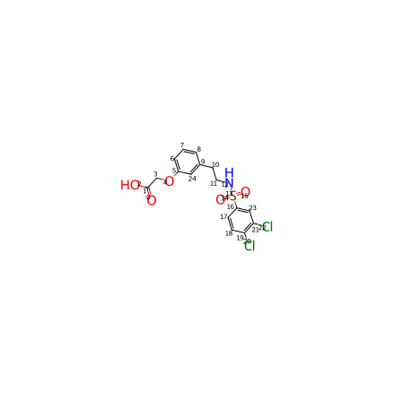 O=C(O)COc1cccc(CCNS(=O)(=O)c2ccc(Cl)c(Cl)c2)c1